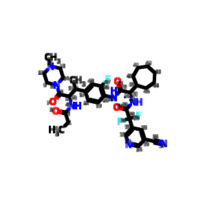 CCC(=O)N[C@@H](C(=O)N1CCN(C)CC1)[C@@H](C)c1ccc(NC(=O)[C@@H](NC(=O)C(F)(F)c2cncc(C#N)c2)C2CCCCCC2)c(F)c1